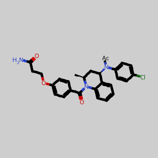 CC(=O)N(c1ccc(Cl)cc1)[C@@H]1C[C@H](C)N(C(=O)c2ccc(OCCC(N)=O)cc2)c2ccccc21